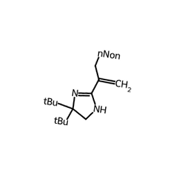 C=C(CCCCCCCCCC)C1=NC(C(C)(C)C)(C(C)(C)C)CN1